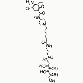 Nc1c(Cl)cc(C(=O)NC2CCN(CCCCCC(=O)NCCCC(=O)NC[C@H](O)[C@@H](O)[C@H](O)[C@H](O)CO)CC2)c2c1CCO2